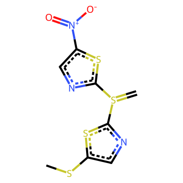 C=S(c1ncc(SC)s1)c1ncc([N+](=O)[O-])s1